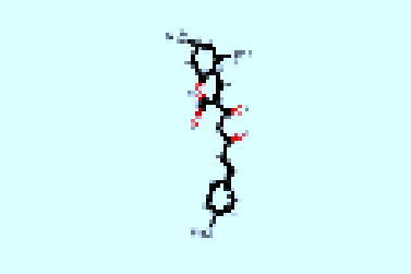 COc1ccc(C=CC(=O)CC(=O)c2cc3c(OC)cc(OC)cc3oc2=O)cc1